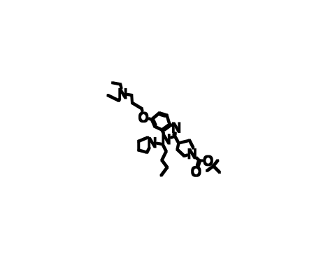 CCCCC(N1CCCC1)n1c(C2CCN(C(=O)OC(C)(C)C)CC2)nc2ccc(OCCCN(CC)CC)cc21